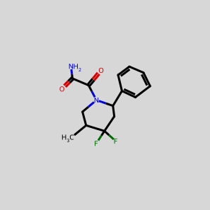 CC1CN(C(=O)C(N)=O)C(c2ccccc2)CC1(F)F